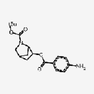 CC(C)(C)OC(=O)N1CC2CC(OC(=O)c3ccc(N)cc3)C1C2